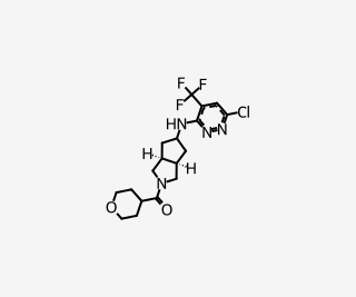 O=C(C1CCOCC1)N1C[C@H]2CC(Nc3nnc(Cl)cc3C(F)(F)F)C[C@H]2C1